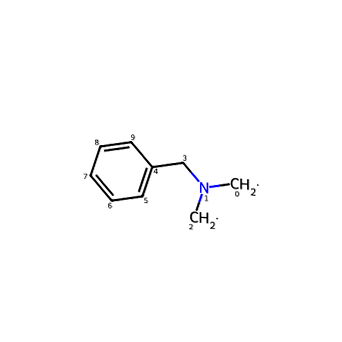 [CH2]N([CH2])Cc1ccccc1